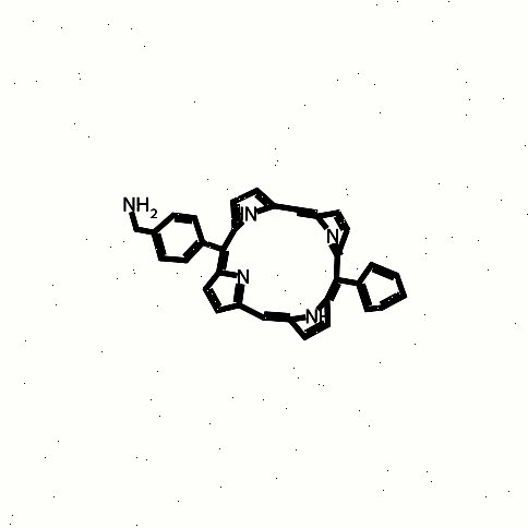 NCc1ccc(-c2c3nc(cc4ccc([nH]4)c(-c4ccccc4)c4nc(cc5ccc2[nH]5)C=C4)C=C3)cc1